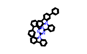 c1ccc(-c2ccc3c4ccccc4n(-c4ccccc4-c4nc(-c5ccccc5-c5ccccc5)nc(-n5c6ccccc6c6ccccc65)n4)c3c2)cc1